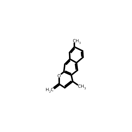 C=C1C=C(C)c2cc3ccc(C)cc3cc2O1